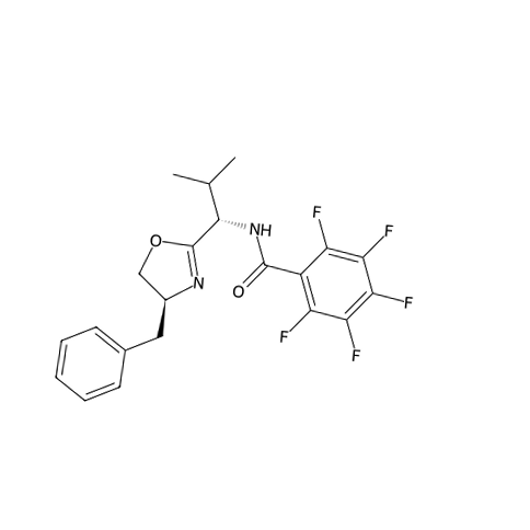 CC(C)[C@H](NC(=O)c1c(F)c(F)c(F)c(F)c1F)C1=N[C@@H](Cc2ccccc2)CO1